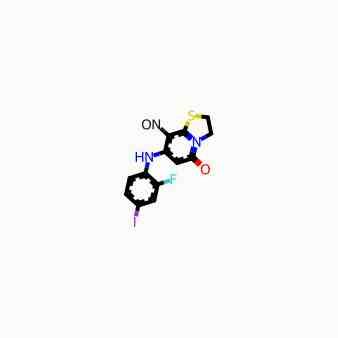 O=Nc1c(Nc2ccc(I)cc2F)cc(=O)n2c1SCC2